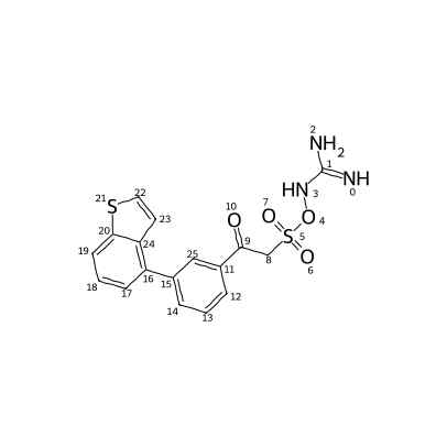 N=C(N)NOS(=O)(=O)CC(=O)c1cccc(-c2cccc3sccc23)c1